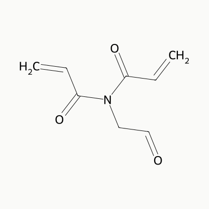 C=CC(=O)N(CC=O)C(=O)C=C